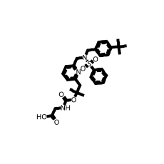 CC(C)(Cc1cccc(CN(Cc2ccc(C(C)(C)C)cc2)S(=O)(=O)c2ccccc2)n1)OC(=O)NCC(=O)O